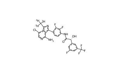 [2H]C([2H])([2H])c1nc(-c2ccc(NC(=O)[C@H](O)c3cc(F)cc(C(F)(F)F)c3)c(F)c2F)c2c(N)ncc(Cl)n12